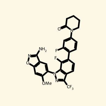 COc1cc2onc(N)c2cc1-n1nc(C(F)(F)F)c2ccc(-c3ccc(N4CCCCC4=O)cc3F)c(F)c21